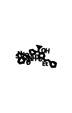 CCC(Cc1ccccc1)c1cc(O)c(C(c2cccc(NS(=O)(=O)c3cccc4snnc34)c2)C2CC2)c(=O)o1